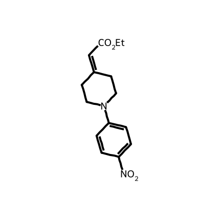 CCOC(=O)C=C1CCN(c2ccc([N+](=O)[O-])cc2)CC1